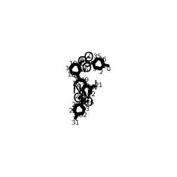 Cc1ccc(S(=O)(=O)Oc2cccc(-c3cnc4c(c3)c(I)cn4S(=O)(=O)c3ccc(C)cc3)c2)cc1